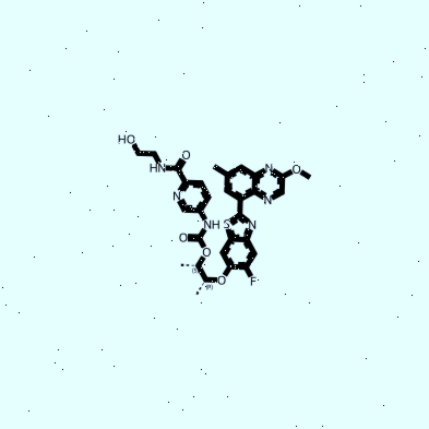 COc1cnc2c(-c3nc4cc(F)c(O[C@H](C)[C@H](C)OC(=O)Nc5ccc(C(=O)NCCO)nc5)cc4s3)cc(C)cc2n1